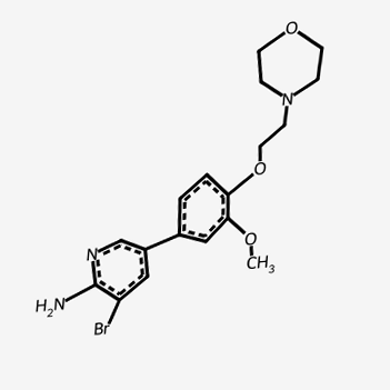 COc1cc(-c2cnc(N)c(Br)c2)ccc1OCCN1CCOCC1